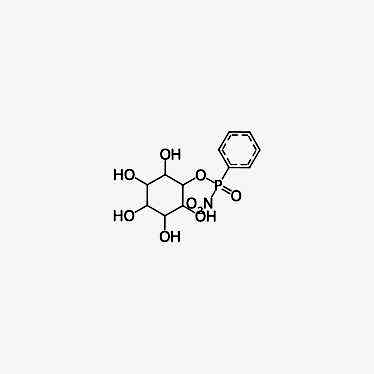 O=[N+]([O-])P(=O)(OC1C(O)C(O)C(O)C(O)C1O)c1ccccc1